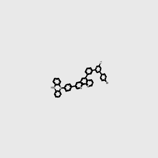 Clc1cc(-c2ccc(Br)cc2)cc(-c2cccc(-c3cc4cc(-c5ccc(N6c7ccccc7Nc7ccccc76)cc5)cnc4c4ncccc34)c2)c1